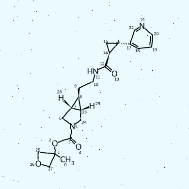 CC1(OC(=O)N2C[C@@H]3[C@@H](CCNC(=O)[C@H]4C[C@@H]4c4cccnc4)[C@@H]3C2)COC1